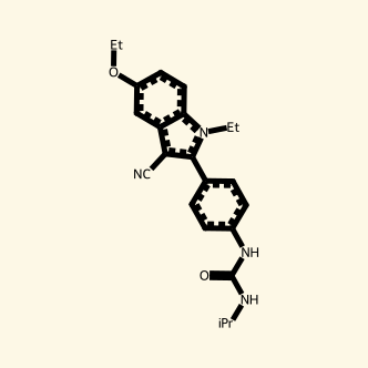 CCOc1ccc2c(c1)c(C#N)c(-c1ccc(NC(=O)NC(C)C)cc1)n2CC